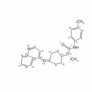 Cc1ccc(NC(=O)[C@H](C)C2CCC(Oc3ccnc4ccccc34)CC2)cc1